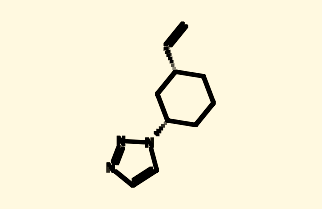 C=C[C@@H]1CCC[C@H](n2ccnn2)C1